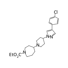 CCOC(=O)N1CCCC(N2CCC(n3cc(-c4ccc(Cl)cc4)cn3)CC2)CC1